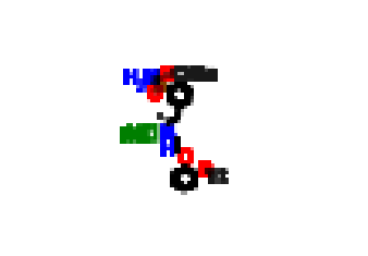 CCOc1ccccc1OCCN[C@H](C)Cc1ccc(OC)c(S(N)(=O)=O)c1.Cl.Cl